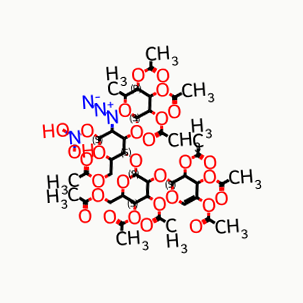 CC(=O)OCC1O[C@@H](ON(O)O)C(N=[N+]=[N-])C(O[C@@H]2OC(C)[C@@H](OC(C)=O)C(OC(C)=O)C2OC(C)=O)[C@@H]1O[C@@H]1OC(COC(C)=O)[C@H](OC(C)=O)C(OC(C)=O)C1O[C@@H]1OC=C(OC(C)=O)C(OC(C)=O)C1OC(C)=O